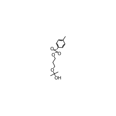 Cc1ccc(S(=O)(=O)OCCCOC(C)(C)O)cc1